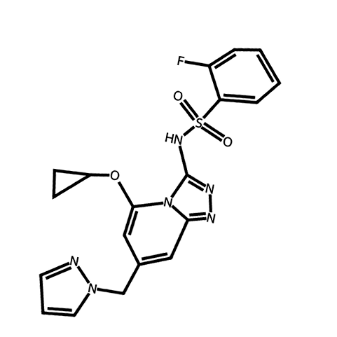 O=S(=O)(Nc1nnc2cc(Cn3cccn3)cc(OC3CC3)n12)c1ccccc1F